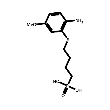 COc1ccc(N)c(SCCCCP(=O)(O)O)c1